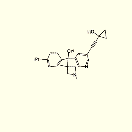 CC(C)c1ccc(C(O)(c2cncc(C#CC3(O)CC3)c2)C2(C)CN(C)C2)cc1